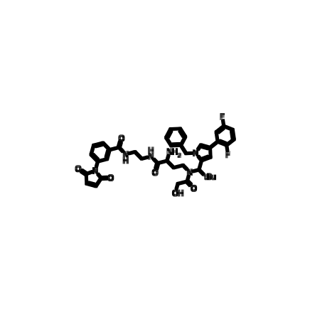 CC(C)(C)C(c1cc(-c2cc(F)ccc2F)cn1Cc1ccccc1)N(CCC(N)C(=O)NCCNC(=O)c1cccc(N2C(=O)C=CC2=O)c1)C(=O)CO